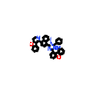 c1ccc(C2NC(c3ccc(-c4nccc5oc6ccccc6c45)c4ccccc34)=NC(c3cccc4oc5ccccc5c34)N2)cc1